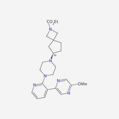 CCOC(=O)N1CC2(CC[C@@H](N3CCN(c4ncccc4-c4cnc(OC)cn4)CC3)C2)C1